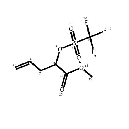 C=CCC(OS(=O)(=O)C(F)(F)F)C(=O)OC